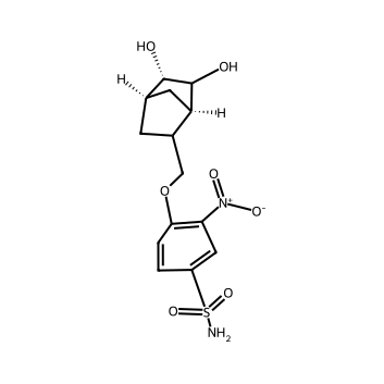 NS(=O)(=O)c1ccc(OCC2C[C@@H]3C[C@H]2C(O)[C@H]3O)c([N+](=O)[O-])c1